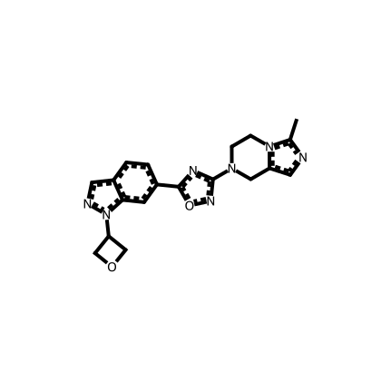 Cc1ncc2n1CCN(c1noc(-c3ccc4cnn(C5COC5)c4c3)n1)C2